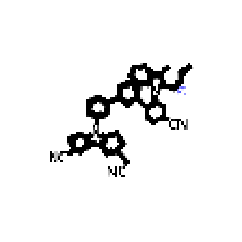 C=C/C=C\c1c(C)c2ccccc2n1C1=C(c2cccc(-c3cccc(-n4c5ccc(C#N)cc5c5cc(CC#N)ccc54)c3)c2)C=CC(C#N)C1